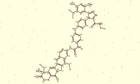 CCNC(=O)c1nnc(-c2cc(C(C)C)c(O)cc2O)n1-c1ccc(Oc2ccc(N(C)C(=O)Oc3ccc4nc5c(c(CC)c4c3)Cn3c-5cc4c(c3=O)COC(=O)[C@]4(O)CC)cc2)cc1